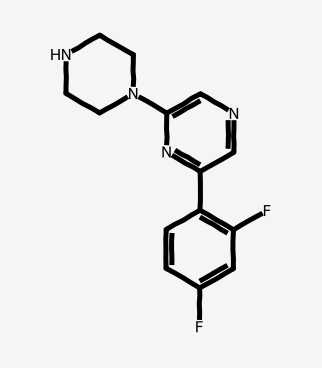 Fc1ccc(-c2cncc(N3CCNCC3)n2)c(F)c1